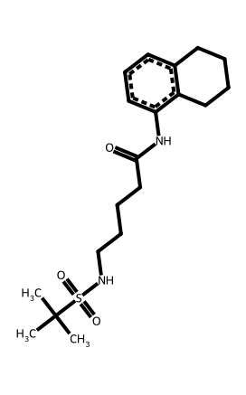 CC(C)(C)S(=O)(=O)NCCCCC(=O)Nc1cccc2c1CCCC2